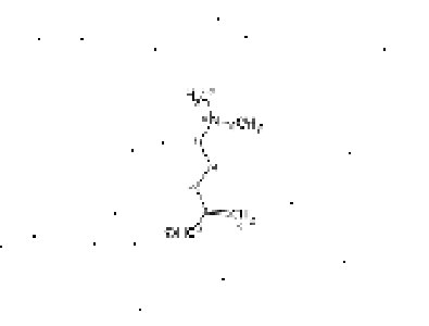 C=C(C=O)CCCN(C)C